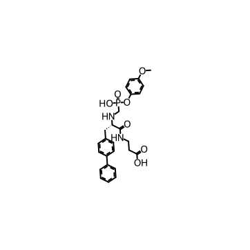 COc1ccc(OP(=O)(O)CN[C@@H](Cc2ccc(-c3ccccc3)cc2)C(=O)NCCC(=O)O)cc1